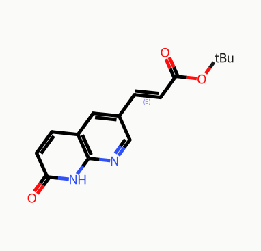 CC(C)(C)OC(=O)/C=C/c1cnc2[nH]c(=O)ccc2c1